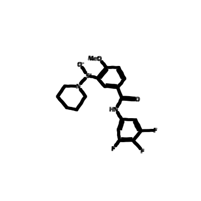 COc1ccc(C(=O)Nc2cc(F)c(F)c(F)c2)cc1[S+]([O-])N1CCCCC1